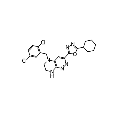 Clc1ccc(Cl)c(CN2CCNc3nnc(-c4nnc(C5CCCCC5)o4)cc32)c1